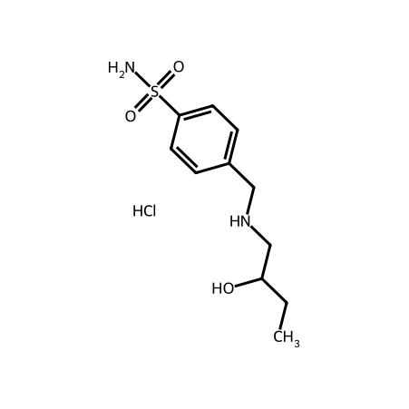 CCC(O)CNCc1ccc(S(N)(=O)=O)cc1.Cl